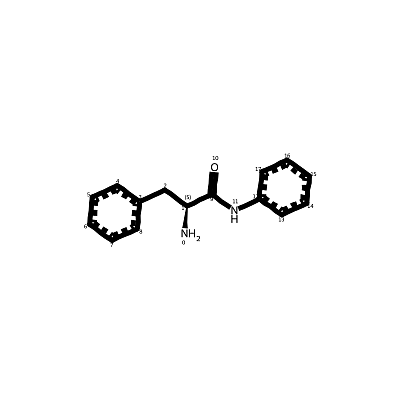 N[C@@H](Cc1ccccc1)C(=O)Nc1cc[c]cc1